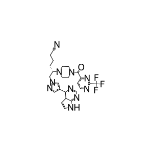 N#CCCC[C@@H](Cn1cc(C2N=CN=C3NC=CC32)cn1)N1CCN(C(=O)c2ccnc(C(F)(F)F)n2)CC1